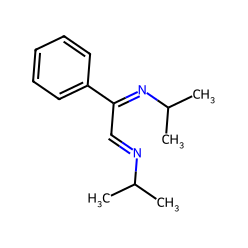 CC(C)N=CC(=NC(C)C)c1ccccc1